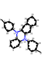 Cc1ccc(N2c3ccccc3N(c3ccc(C)cc3)c3cc4ccccc4cc32)cc1